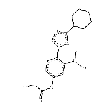 CC(C)OC(=O)Nc1ccc(-c2cnc(C3CCCCC3)s2)c(P(C)C(C)C)c1